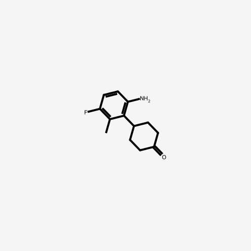 Cc1c(F)ccc(N)c1C1CCC(=O)CC1